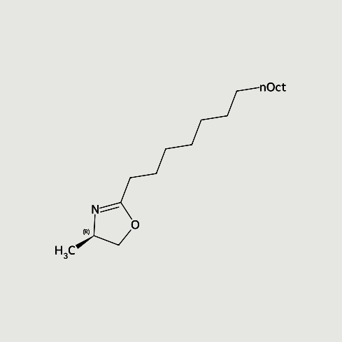 CCCCCCCCCCCCCCCC1=N[C@H](C)CO1